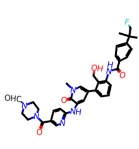 Cn1cc(-c2cccc(NC(=O)c3ccc(C(C)(C)CF)cc3)c2CO)cc(Nc2ccc(C(=O)N3CCN(C=O)CC3)cn2)c1=O